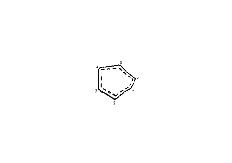 [c]1[c]cccc1